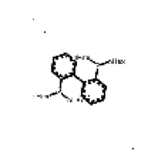 CCCCCCP(CCCCCC)c1ccccc1-c1ccccc1P(CCCCCC)CCCCCC